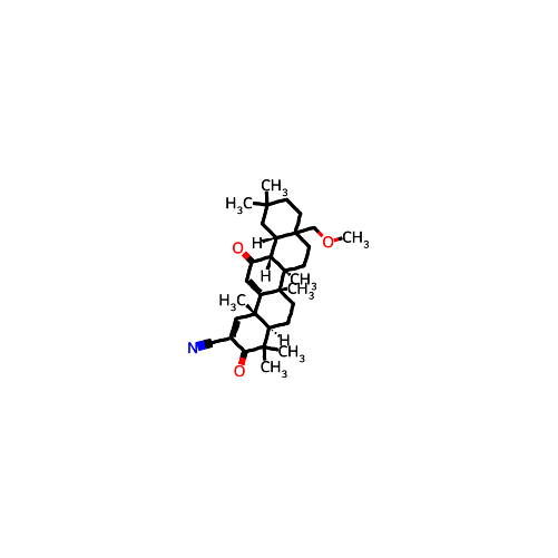 COCC12CCC(C)(C)C[C@H]1[C@H]1C(=O)C=C3[C@@]4(C)C=C(C#N)C(=O)C(C)(C)[C@@H]4CC[C@@]3(C)[C@]1(C)CC2